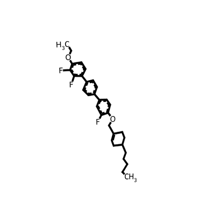 CCCCCC1CC=C(COc2ccc(-c3ccc(-c4ccc(OCC)c(F)c4F)cc3)cc2F)CC1